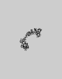 COc1cc2c(cc1OCCCCN1CCN(C(=S)SCCC(C#N)(c3ccccc3)c3ccccc3)CC1)N=C[C@@H]1CCCN1C2=O